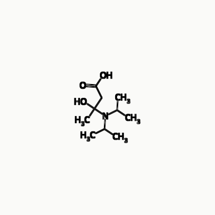 CC(C)N(C(C)C)C(C)(O)CC(=O)O